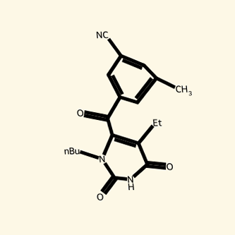 CCCCn1c(C(=O)c2cc(C)cc(C#N)c2)c(CC)c(=O)[nH]c1=O